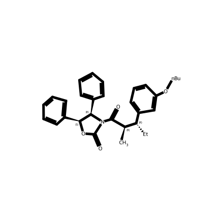 CCCCOc1cccc([C@H](CC)[C@@H](C)C(=O)N2C(=O)O[C@@H](c3ccccc3)[C@H]2c2ccccc2)c1